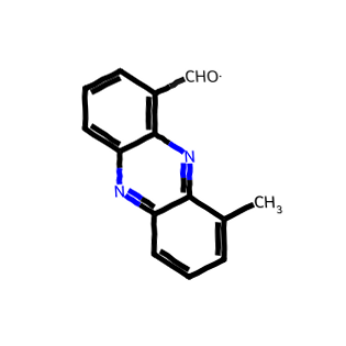 Cc1cccc2nc3cccc([C]=O)c3nc12